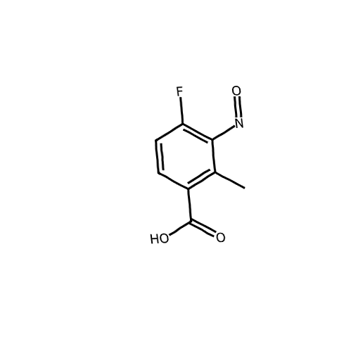 Cc1c(C(=O)O)ccc(F)c1N=O